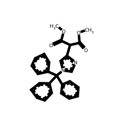 COC(=O)C(C(=O)OC)c1cn(C(c2ccccc2)(c2ccccc2)c2ccccc2)cn1